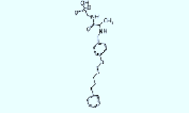 CC(NCc1ccc(OCCCCCc2ccccc2)cc1)C(=O)NCS(=O)(=O)O